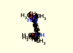 CC(C)(C)OC(=O)N1C2C[C@]2(C)C[C@H]1c1nc(-c2ccc(-c3ccc(-c4c[nH]c([C@@H]5C[C@@]6(C)C[C@H]6N5C(=O)OC(C)(C)C)n4)cc3)cc2)c[nH]1